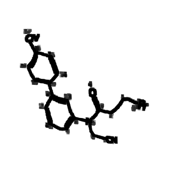 CC(C)CCC(=O)N(CC#N)c1cccc(-c2ccc(C#N)cc2)c1